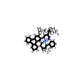 Cc1ccccc1-c1cccc[n+]1-[n+]1ccc(C(C)(C)C)cc1-c1cc2c3ccccc3c3ccccc3c2cc1C